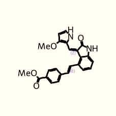 COC(=O)c1ccc(/C=C/c2cccc3c2/C(=C/c2[nH]ccc2OC)C(=O)N3)cc1